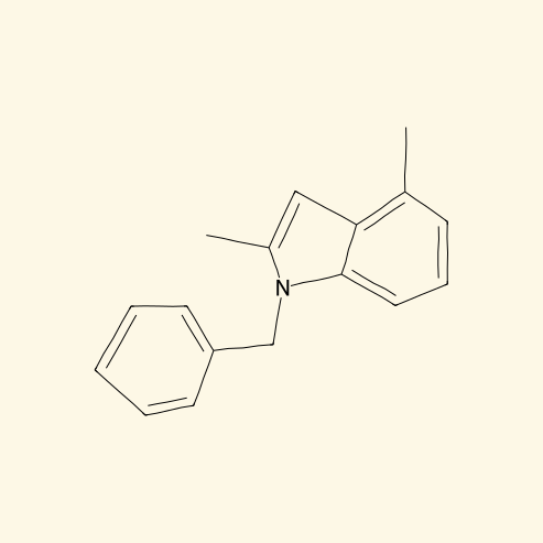 Cc1cccc2c1cc(C)n2Cc1ccccc1